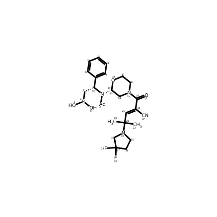 CC(=O)N([C@H](CB(O)O)c1ccccc1)[C@H]1CN(C(=O)C(C#N)=CC(C)(C)N2CCC(F)(F)C2)CCO1